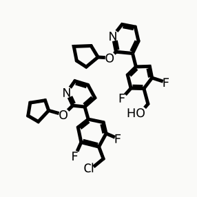 Fc1cc(-c2cccnc2OC2CCCC2)cc(F)c1CCl.OCc1c(F)cc(-c2cccnc2OC2CCCC2)cc1F